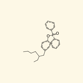 CCCCC(CC)Cc1ccc(OP(=O)(c2ccccc2)c2ccccc2)cc1